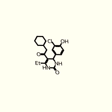 CCC1=C(C(=O)CC2CCCCC2)C(c2ccc(O)c(Cl)c2)NC(=O)N1